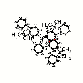 CC1(C)C2=C(CCC=C2)c2ccc(N(c3ccc4c(c3)C(C)(C)c3ccccc3-4)c3ccccc3-c3cccc4c3-c3ccccc3C4(C)C)cc21